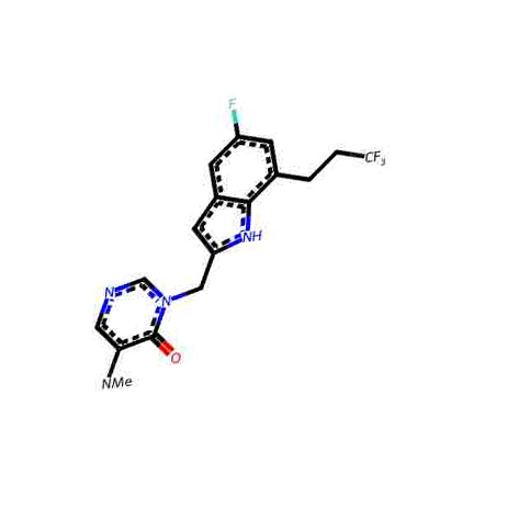 CNc1cncn(Cc2cc3cc(F)cc(CCC(F)(F)F)c3[nH]2)c1=O